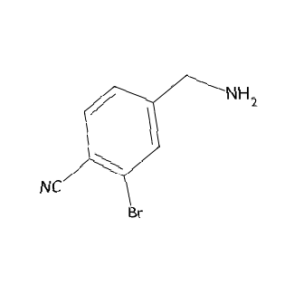 N#Cc1ccc(CN)cc1Br